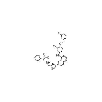 O=S(=O)=C(CNCc1nc(-c2ccc3ncnc(Nc4ccc(OCc5cccc(F)c5)c(Cl)c4)c3c2)cs1)c1ccccn1